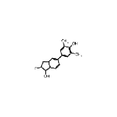 Cc1cc(C2=CC3CC(F)C(O)C3C=C2)cc(C)c1O